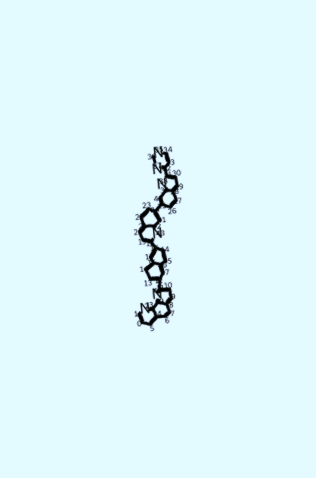 c1cnc2c(c1)ccc1ccc(-c3ccc4cc(-c5ccc6ccc(-c7ccc8ccc(-c9ccncn9)nc8c7)cc6n5)ccc4c3)nc12